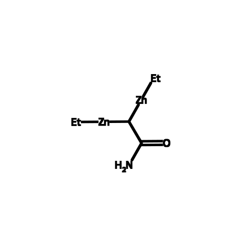 C[CH2][Zn][CH]([Zn][CH2]C)C(N)=O